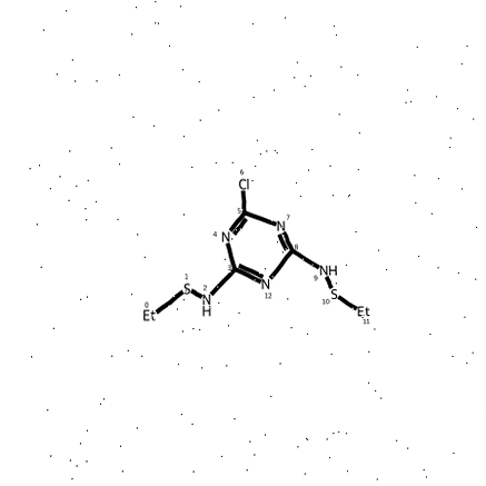 CCSNc1nc(Cl)nc(NSCC)n1